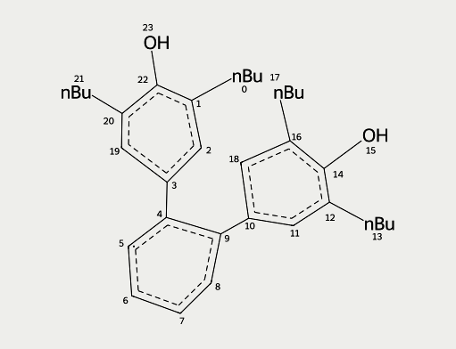 CCCCc1cc(-c2[c]cccc2-c2cc(CCCC)c(O)c(CCCC)c2)cc(CCCC)c1O